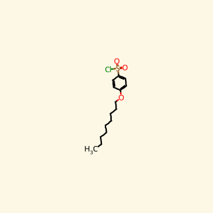 CCCCCCCCCOc1ccc(S(=O)(=O)Cl)cc1